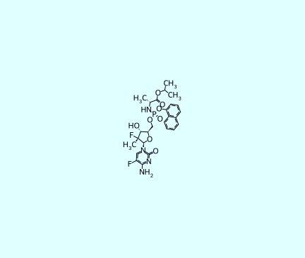 CC(C)OC(=O)[C@@H](C)N[P@](=O)(OC[C@H]1O[C@@H](n2cc(F)c(N)nc2=O)[C@](C)(F)[C@@H]1O)Oc1cccc2ccccc12